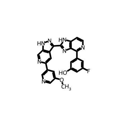 COc1cncc(-c2cc3c(-c4nc5c(-c6cc(O)cc(F)c6)nccc5[nH]4)n[nH]c3cn2)c1